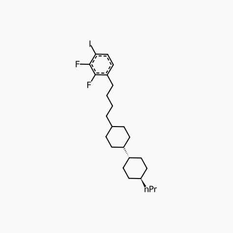 CCC[C@H]1CC[C@H](C2CCC(CCCCc3ccc(I)c(F)c3F)CC2)CC1